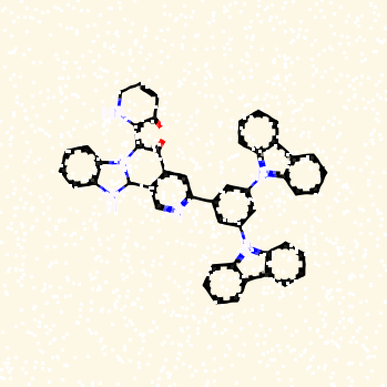 C1=Cc2oc3c(c2NC1)N1c2ccccc2NC1c1cnc(-c2cc(-n4c5ccccc5c5ccccc54)cc(-n4c5ccccc5c5ccccc54)c2)cc1-3